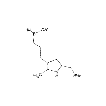 CNCC1CC(CCCB(O)O)C(C)N1